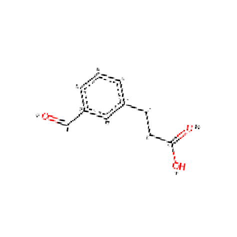 O=Cc1cccc(CCC(=O)O)c1